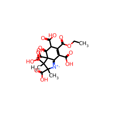 CCOC(=O)C1=C(C(=O)O)C2=[N+]C(C)(C(=O)O)C(C)(C(=O)O)C2(C(=O)O)C(=O)C1C(=O)O